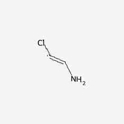 NC=[C]Cl